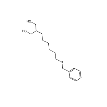 OCC(CO)CCCCCCOCc1ccccc1